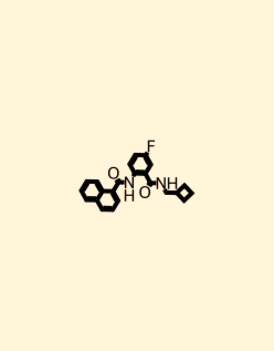 O=C(NCC1CCC1)c1cc(F)ccc1NC(=O)c1cccc2ccccc12